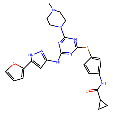 CN1CCN(c2nc(Nc3cc(-c4ccco4)[nH]n3)nc(Sc3ccc(NC(=O)C4CC4)cc3)n2)CC1